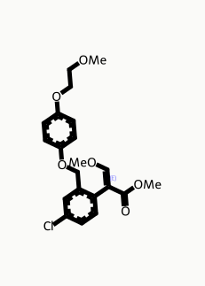 CO/C=C(/C(=O)OC)c1ccc(Cl)cc1COc1ccc(OCCOC)cc1